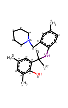 CCCC(CC)(Pc1ccc(C)cc1CN1CCCCC1)c1cc(C)cc(C)c1O